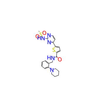 CS(=O)(=O)Nc1nccc(-c2ccc(C(=O)NCc3ccccc3N3CCCCC3)s2)n1